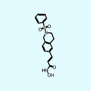 O=C(/C=C/c1ccc2c(c1)CCN(S(=O)(=O)c1ccccc1)C2)NO